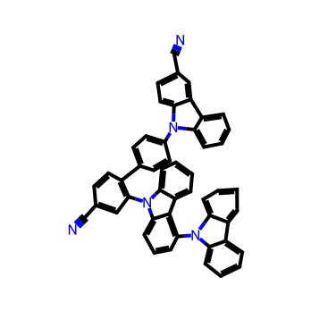 N#Cc1ccc(-c2ccc(-n3c4ccccc4c4cc(C#N)ccc43)cc2)c(-n2c3ccccc3c3c(-n4c5ccccc5c5ccccc54)cccc32)c1